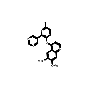 COc1cc2nccc(Oc3ccc(C)nc3-c3cncnc3)c2cc1OC